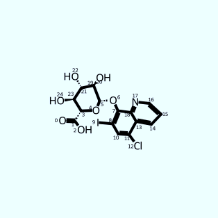 O=C(O)[C@H]1O[C@@H](Oc2c(I)cc(Cl)c3cccnc23)[C@H](O)[C@@H](O)[C@@H]1O